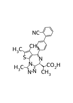 Cc1sc2c(c1C)C(c1ccc(-c3ccccc3C#N)cc1)=N[C@@H](C(C)C(=O)O)c1nnc(C)n1-2